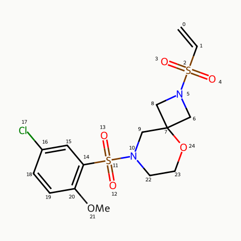 C=CS(=O)(=O)N1CC2(C1)CN(S(=O)(=O)c1cc(Cl)ccc1OC)CCO2